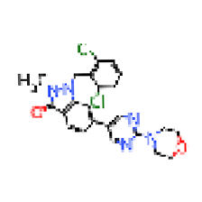 Cn1c(=O)c2ccc(-c3cnc(N4CCOCC4)nc3)cc2n1Cc1c(Cl)cccc1Cl